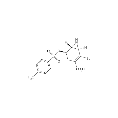 CCC1=C(C(=O)O)C[C@@H](OS(=O)(=O)c2ccc(C)cc2)[C@@H]2N[C@@H]12